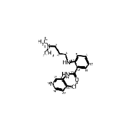 CN(C)CCCNc1ccccc1C(=O)Nc1cnccc1Cl